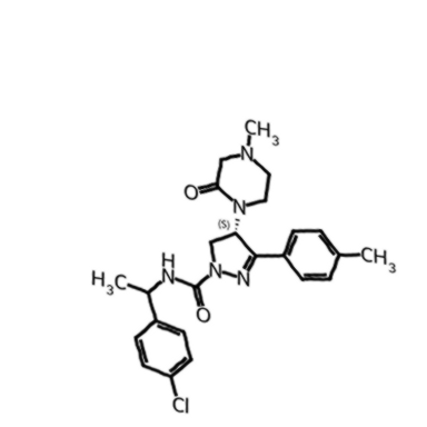 Cc1ccc(C2=NN(C(=O)NC(C)c3ccc(Cl)cc3)C[C@@H]2N2CCN(C)CC2=O)cc1